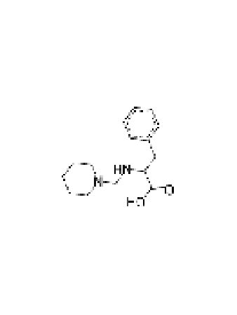 O=C(O)C(Cc1ccccc1)NCN1CCCCC1